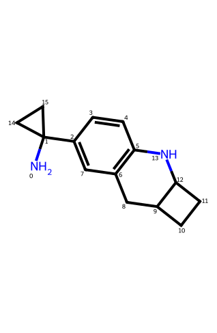 NC1(c2ccc3c(c2)CC2CCC2N3)CC1